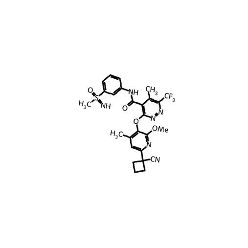 COc1nc(C2(C#N)CCC2)cc(C)c1Oc1nnc(C(F)(F)F)c(C)c1C(=O)Nc1cccc(S(C)(=N)=O)c1